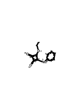 CCOc1c(Nc2c[c]ccc2)c(=O)c1=O